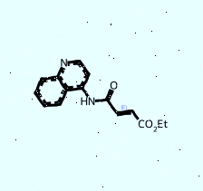 CCOC(=O)/C=C/C(=O)Nc1ccnc2ccccc12